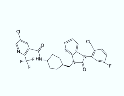 O=C(N[C@H]1CC[C@H](Cn2c(=O)n(-c3cc(F)ccc3Cl)c3cccnc32)CC1)c1cc(Cl)cnc1C(F)(F)F